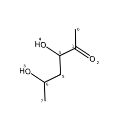 CC(=O)C(O)CC(C)O